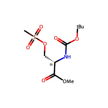 COC(=O)[C@H](COS(C)(=O)=O)NC(=O)OC(C)(C)C